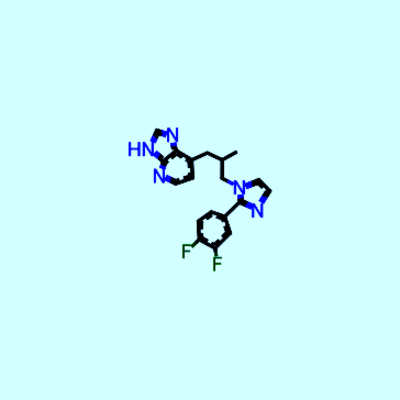 CC(Cc1ccnc2[nH]cnc12)Cn1ccnc1-c1ccc(F)c(F)c1